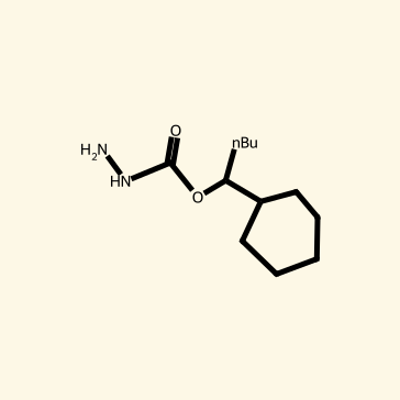 CCCCC(OC(=O)NN)C1CCCCC1